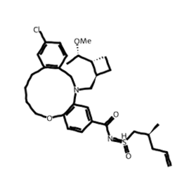 C=CC[C@H](C)C/[SH](=O)=N\C(=O)c1ccc2c(c1)N(C[C@@H]1CC[C@H]1[C@H](C)OC)Cc1ccc(Cl)cc1CCCCO2